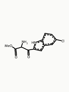 COC(=O)C(N)C(=O)c1cc2cc(Cl)ccc2[nH]1